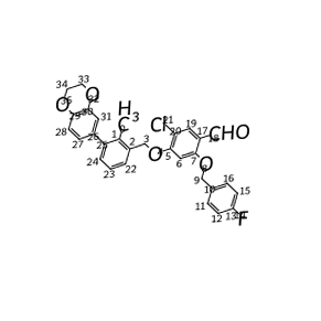 Cc1c(COc2cc(OCc3ccc(F)cc3)c(C=O)cc2Cl)cccc1-c1ccc2c(c1)OCCO2